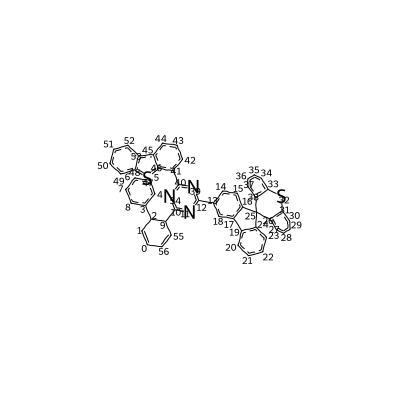 C1=CC(c2ccccc2)C(c2nc(-c3ccc4c(c3)-c3ccccc3C43c4ccccc4Sc4ccccc43)nc(-c3cccc4c3sc3ccccc34)n2)C=C1